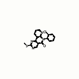 CSc1ncc2c(=O)n(-c3ccccc3Cl)c3ncccc3c2n1